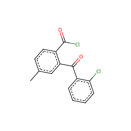 Cc1ccc(C(=O)Cl)c(C(=O)c2ccccc2Cl)c1